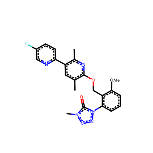 COc1cccc(-n2nnn(C)c2=O)c1COc1nc(C)c(-c2ccc(F)cn2)cc1C